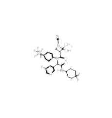 CC1(O)C(C(=O)N(c2ccc(S(F)(F)(F)(F)F)cc2)C(C(=O)NC2CCC(F)(F)CC2)c2cncc(F)c2)CN1C#N